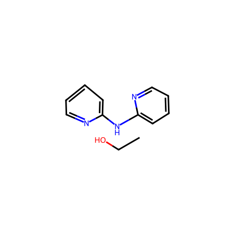 CCO.c1ccc(Nc2ccccn2)nc1